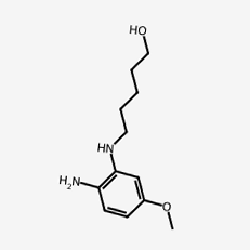 COc1ccc(N)c(NCCCCCO)c1